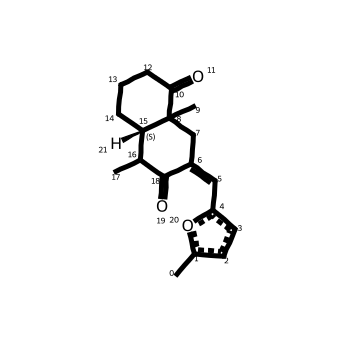 Cc1ccc(C=C2CC3(C)C(=O)CCC[C@H]3C(C)C2=O)o1